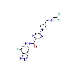 Cn1cc2cc(NC(=O)c3cnc(N4CC(CNCC(F)F)C4)cn3)cc(F)c2n1